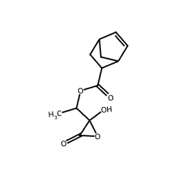 CC(OC(=O)C1CC2C=CC1C2)C1(O)OC1=O